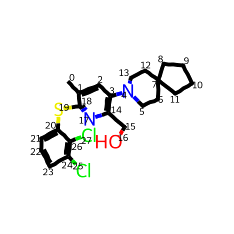 Cc1cc(N2CCC3(CCCC3)CC2)c(CO)nc1Sc1cccc(Cl)c1Cl